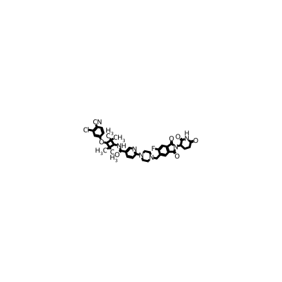 CC1(C)C(NC(=O)c2ccc(N3CCN(Cc4cc5c(cc4F)C(=O)N(C4CCC(=O)NC4=O)C5=O)CC3)nc2)C(C)(C)C1Oc1ccc(C#N)c(Cl)c1